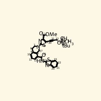 COC(=O)c1nc(N2CCc3cccc(C(=O)Nc4nc5ccccc5s4)c3C2)sc1C#CCO[Si](C)(C)C(C)(C)C